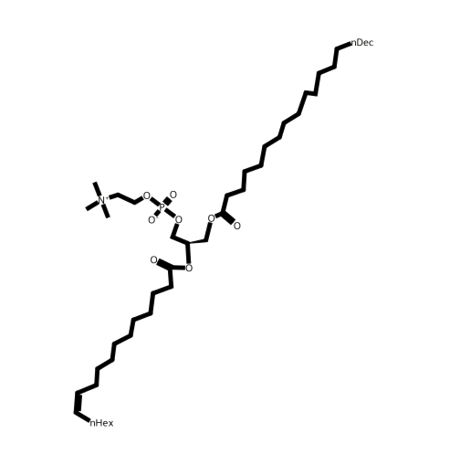 CCCCCC/C=C\CCCCCCCCCC(=O)O[C@H](COC(=O)CCCCCCCCCCCCCCCCCCCCCCC)COP(=O)([O-])OCC[N+](C)(C)C